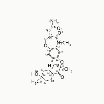 CN1C(=O)[C@@H](OC(N)=O)COc2ccc(OC(C)(C)C(=O)N3CCC(C)(O)CC3)cc21